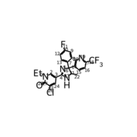 CCn1cc(C2=NC(c3ccc(F)cc3)(c3ccc(C(F)(F)F)nc3)C(C)N2)cc(Cl)c1=O